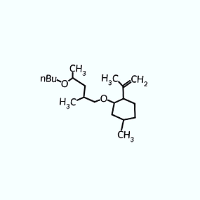 C=C(C)C1CCC(C)CC1OCC(C)CC(C)OCCCC